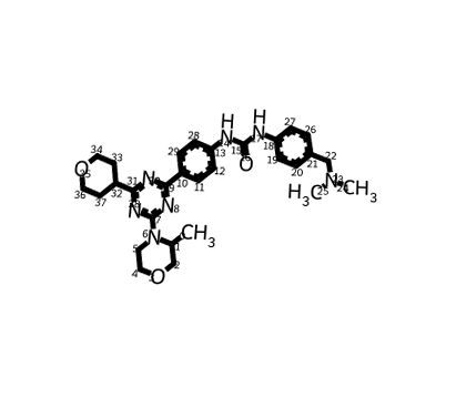 CC1COCCN1c1nc(-c2ccc(NC(=O)Nc3ccc(CN(C)C)cc3)cc2)nc(C2CCOCC2)n1